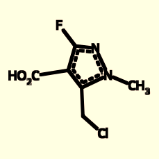 Cn1nc(F)c(C(=O)O)c1CCl